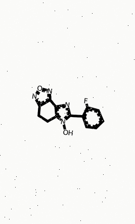 On1c(-c2ccccc2F)nc2c1CCc1nonc1-2